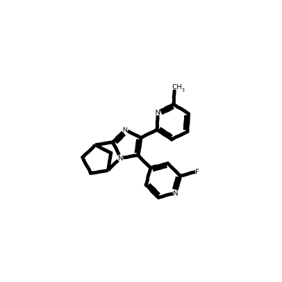 Cc1cccc(-c2nc3n(c2-c2ccnc(F)c2)C2CCC3C2)n1